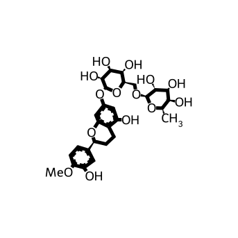 COc1ccc([C@@H]2CCc3c(O)cc(O[C@@H]4O[C@H](CO[C@@H]5O[C@@H](C)[C@H](O)[C@@H](O)[C@H]5O)[C@@H](O)[C@H](O)[C@H]4O)cc3O2)cc1O